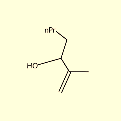 C=C(C)C(O)CCCC